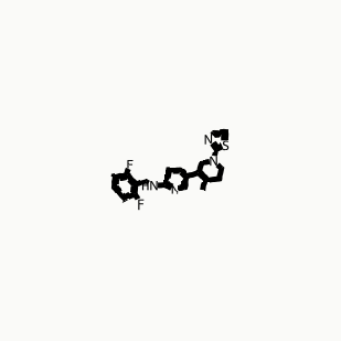 CC1=C(c2ccc(NCc3c(F)cccc3F)nc2)CN(c2nccs2)CC1